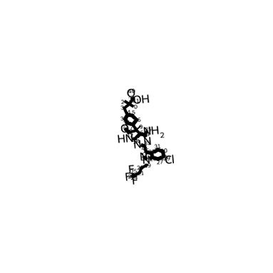 CC(C)(Cc1ccc([C@@]2(C)C(=O)Nc3nc(-c4nn(CCCC(F)(F)F)c5cc(Cl)ccc45)nc(N)c32)cc1)C(=O)O